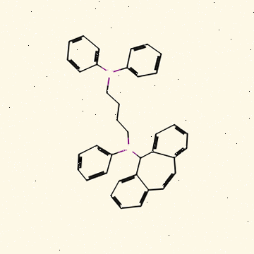 C1=Cc2ccccc2C(P(CCCCP(c2ccccc2)c2ccccc2)c2ccccc2)c2ccccc21